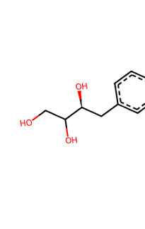 OCC(O)[C@@H](O)Cc1ccccc1